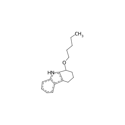 CCCCCOC1CCCc2c1[nH]c1ccccc21